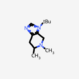 CC1Cc2ncn(C(C)(C)C)c2CN1C